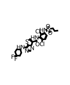 CCCS(=O)(=O)Nc1ccc(Cl)c(NC(=O)c2csc3c(NC4CCC(F)(F)CC4)ncnc23)c1Cl